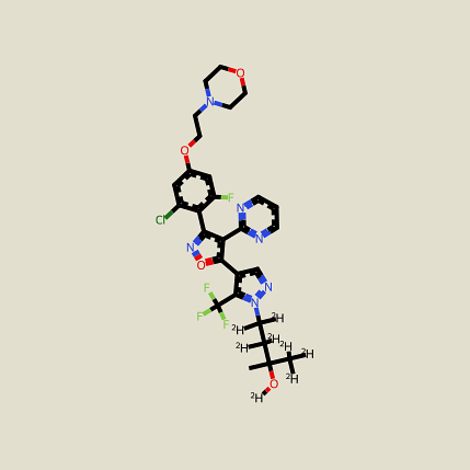 [2H]OC(C)(C([2H])([2H])[2H])C([2H])([2H])C([2H])([2H])n1ncc(-c2onc(-c3c(F)cc(OCCN4CCOCC4)cc3Cl)c2-c2ncccn2)c1C(F)(F)F